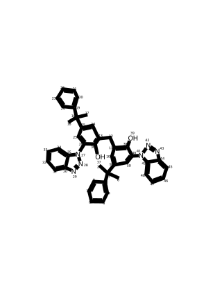 CC(C)(c1ccccc1)c1cc(Cc2cc(C(C)(C)c3ccccc3)cc(-n3nnc4ccccc43)c2O)c(O)c(-n2nnc3ccccc32)c1